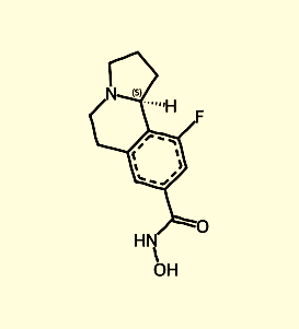 O=C(NO)c1cc(F)c2c(c1)CCN1CCC[C@@H]21